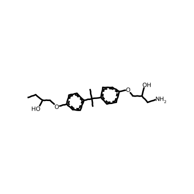 CCC(O)COc1ccc(C(C)(C)c2ccc(OCC(O)CN)cc2)cc1